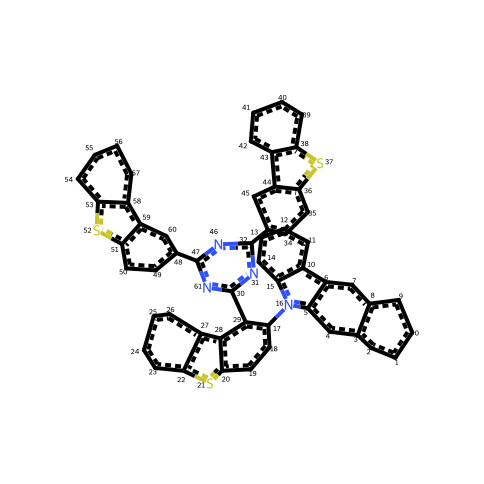 c1ccc2cc3c(cc2c1)c1ccccc1n3-c1ccc2sc3ccccc3c2c1-c1nc(-c2ccc3sc4ccccc4c3c2)nc(-c2ccc3sc4ccccc4c3c2)n1